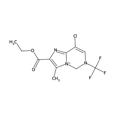 CCOC(=O)C1=C(C)[N+]2CN(C(F)(F)F)C=C(Cl)C2=N1